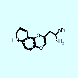 CCCC(N)CC1=COc2ccc3c(c2O1)C=CCN3